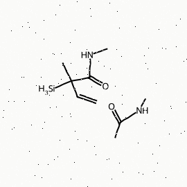 C=CC(C)([SiH3])C(=O)NC.CNC(C)=O